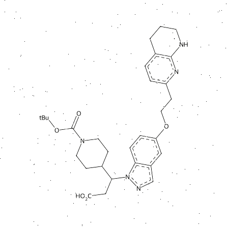 CC(C)(C)OC(=O)N1CCC(C(CC(=O)O)n2ncc3cc(OCCc4ccc5c(n4)NCCC5)ccc32)CC1